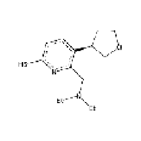 CCN(CC)Cc1nc(S)ccc1[C@H]1CCOC1